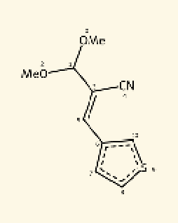 COC(OC)/C(C#N)=C/c1ccsc1